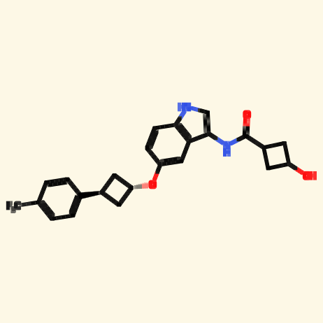 O=C(Nc1c[nH]c2ccc(O[C@H]3C[C@H](c4ccc(C(F)(F)F)cc4)C3)cc12)C1CC(O)C1